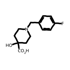 O=C(O)C1(O)CCN(Cc2ccc(F)cc2)CC1